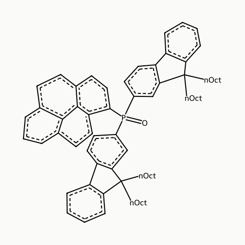 CCCCCCCCC1(CCCCCCCC)c2ccccc2-c2ccc(P(=O)(c3ccc4c(c3)C(CCCCCCCC)(CCCCCCCC)c3ccccc3-4)c3ccc4ccc5cccc6ccc3c4c56)cc21